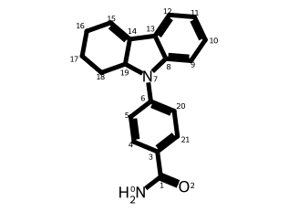 NC(=O)c1ccc(N2c3ccccc3C3=CCCCC32)cc1